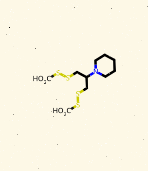 O=C(O)SSCC(CSSC(=O)O)N1CCCCC1